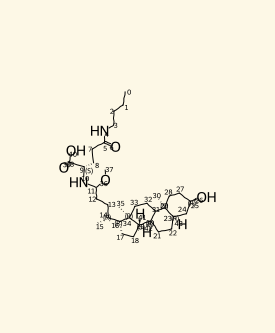 CCCCNC(=O)CC[C@H](NC(CC[C@@H](C)[C@H]1CC[C@H]2[C@@H]3CC[C@@H]4C[C@H](O)CC[C@]4(C)C3CC[C@]12C)OC)C(=O)O